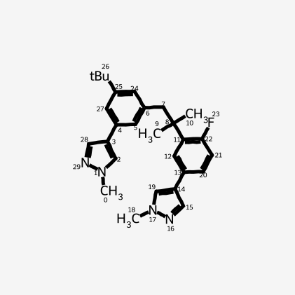 Cn1cc(-c2cc(CC(C)(C)c3cc(-c4cnn(C)c4)ccc3F)cc(C(C)(C)C)c2)cn1